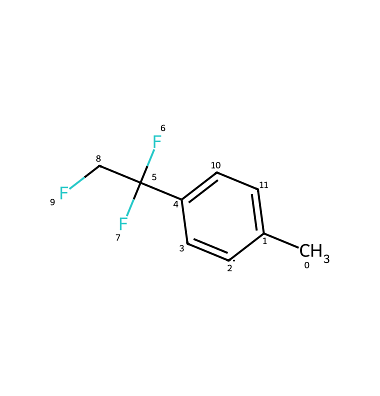 Cc1[c]cc(C(F)(F)CF)cc1